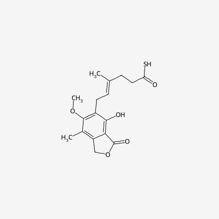 COc1c(C)c2c(c(O)c1C/C=C(\C)CCC(=O)S)C(=O)OC2